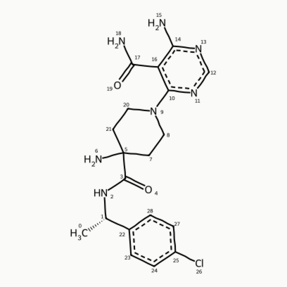 C[C@H](NC(=O)C1(N)CCN(c2ncnc(N)c2C(N)=O)CC1)c1ccc(Cl)cc1